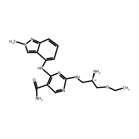 CCOC[C@H](N)CNc1ncc(C(N)=O)c(Nc2cccc3nn(C)cc23)n1